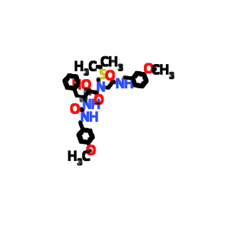 COc1ccc(CNC(=O)N[C@@H](Cc2ccccc2)[C@H](O)C(=O)N(CSC(C)C)CC(=O)NCc2cccc(OC)c2)cc1